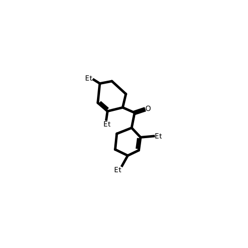 CCC1=CC(CC)CCC1C(=O)C1CCC(CC)C=C1CC